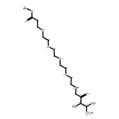 CC(C)(C)OC(=O)CCOCCOCCOCCOCCNCC(=O)C(O)C(O)C(=O)O